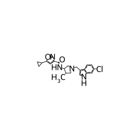 C[C@@H]1CN(Cc2c[nH]c3cc(Cl)ccc23)CC1NC(=O)c1cc(C2CC2)on1